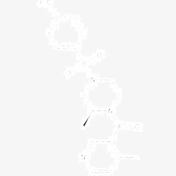 Cc1ccncc1C(=O)N1CCN(S(=O)(=O)c2ccc(C(F)(F)F)cc2)C[C@@H]1C